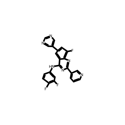 Fc1ccc(Nc2nc(-c3cccnc3)nc3c(F)cc(-c4cncnc4)cc23)cc1F